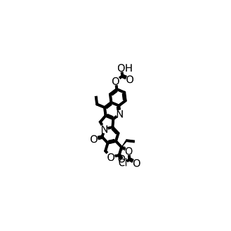 CCc1c2c(nc3ccc(OC(=O)O)cc13)-c1cc3c(c(=O)n1C2)COC(=O)[C@@]3(CC)OC(=O)Cl